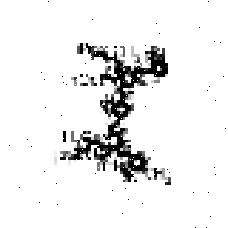 CCCCCCCCC(CCCCCC)CC1(CCC(C)CCCC(C)C)Oc2cc(-c3cccc4nsnc34)sc2C2=C1CC(c1ccc(-c3cc4c(s3)C3=C(CC(c5ccc(C)c6nsnc56)S3)C(CCC(C)CCCC(C)C)(CC(CCCCCC)CCCCCCCC)O4)c3nsnc13)S2